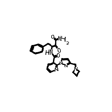 NC(=O)C(=O)C(Cc1ccccc1)NC(=O)c1cccnc1-n1ccc(CN2CCC2)n1